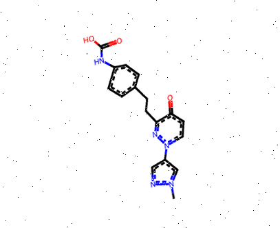 Cn1cc(-n2ccc(=O)c(CCc3ccc(NC(=O)O)cc3)n2)cn1